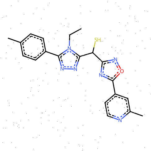 CCn1c(-c2ccc(C)cc2)nnc1C(S)c1noc(-c2ccnc(C)c2)n1